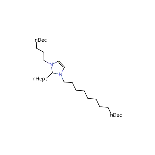 CCCCCCCCCCCCCCCCCCN1C=CN(CCCCCCCCCCCCC)C1CCCCCCC